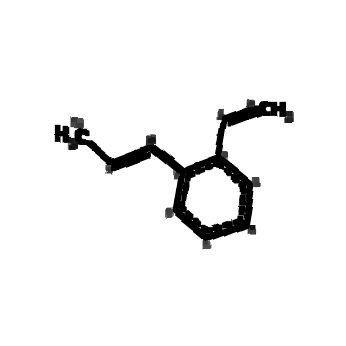 C=Cc1ccccc1/C=C/C